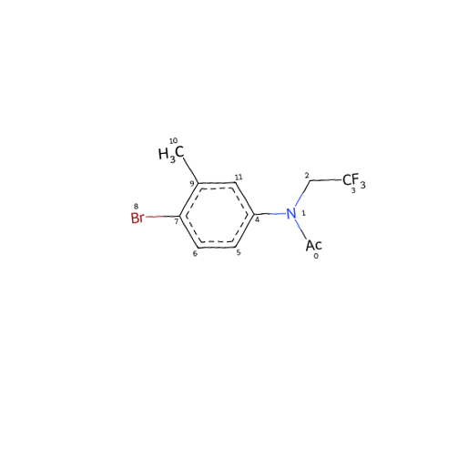 CC(=O)N(CC(F)(F)F)c1ccc(Br)c(C)c1